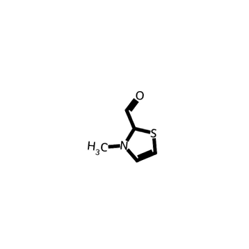 CN1C=CSC1C=O